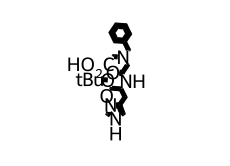 CC(C)(C)OC(=O)C(Cc1c[nH]cn1)NC(=O)CN(CC(=O)O)Cc1ccccc1